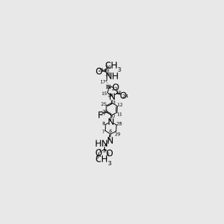 COC(=O)NN=C1CCN(c2ccc(N3C[C@H](CNC(C)=O)OC3=O)cc2F)CC1